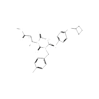 COC(=O)[C@H](C)[C@H](C)n1c(=O)[nH]/c(=N\c2ccc(OC3CCC3)cc2)n(Cc2ccc(C)cc2)c1=O